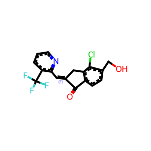 O=C1/C(=C/c2ncccc2C(F)(F)F)Cc2c1ccc(CO)c2Cl